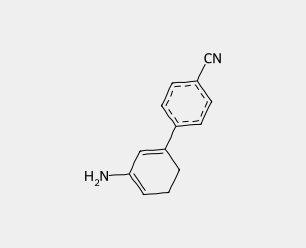 N#Cc1ccc(C2=CC(N)=CCC2)cc1